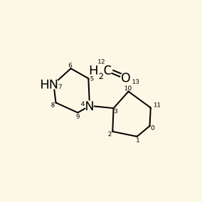 C1CCC(N2CCNCC2)CC1.C=O